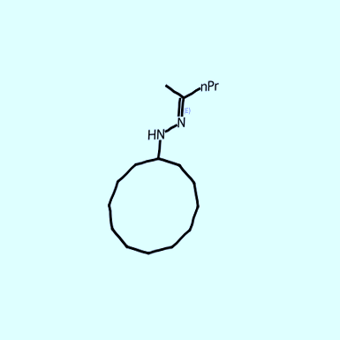 CCC/C(C)=N/NC1CCCCCCCCCCC1